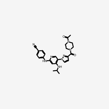 CC(=O)N1CCN(C(=O)c2ccn(-c3cnc(Nc4ccc(C#N)cc4)cc3NC(C)C)n2)CC1